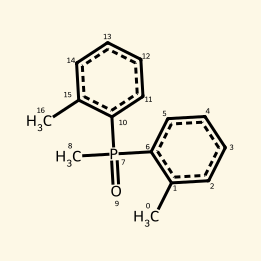 Cc1ccccc1P(C)(=O)c1ccccc1C